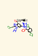 COC(=O)c1cc(NC(=O)c2cc(Cl)ccc2Cl)cc2[nH]c(Cl)nc12